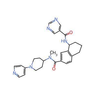 CN(C(=O)c1ccc2c(c1)C(NC(=O)c1cncnc1)CCC2)C1CCN(c2ccncc2)CC1